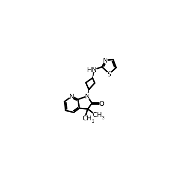 CC1(C)C(=O)N([C@H]2C[C@H](Nc3nccs3)C2)c2ncccc21